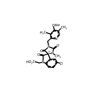 COc1c(C)cnc(CN2C(=O)N(C)[C@]3(C2=O)C(=O)N(CC(=O)O)c2ccc(Cl)cc23)c1C